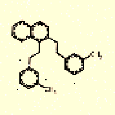 Cc1cccc(CCc2ccc3ccccc3c2CCc2cccc(C)c2)c1